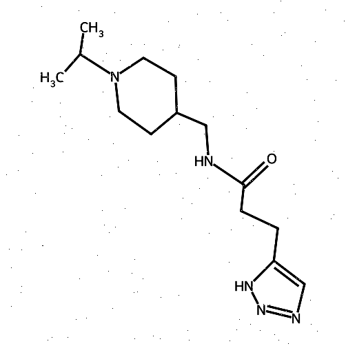 CC(C)N1CCC(CNC(=O)CCc2cnn[nH]2)CC1